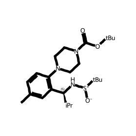 Cc1ccc(N2CCN(C(=O)OC(C)(C)C)CC2)c([C@@H](N[S+]([O-])C(C)(C)C)C(C)C)c1